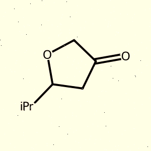 CC(C)C1CC(=O)CO1